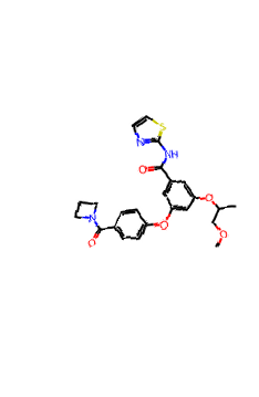 COCC(C)Oc1cc(Oc2ccc(C(=O)N3CCC3)cc2)cc(C(=O)Nc2nccs2)c1